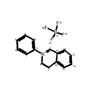 C1=[N+](c2ccccc2)CCc2ccccc21.F[B-](F)(F)F